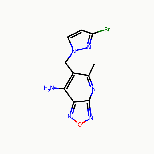 Cc1nc2nonc2c(N)c1Cn1ccc(Br)n1